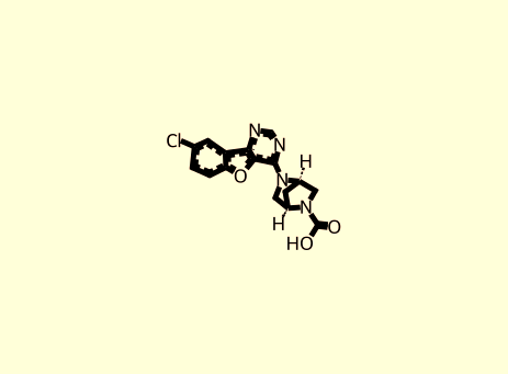 O=C(O)N1C[C@H]2C[C@@H]1CN2c1ncnc2c1oc1ccc(Cl)cc12